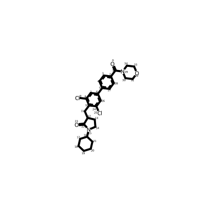 O=C(c1ccc(-c2cc(Cl)c(CC3CCN(C4CCCCC4)C3=O)c(Cl)c2)cc1)N1CCOCC1